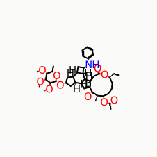 CC[C@H]1CCC[C@H](OC(C)=O)[C@@H](C)C(=O)C2=C[C@H]3[C@@H]4C[C@H](O[C@@H]5OC(C)[C@H](OC)C(OC)C5OC)C[C@H]4[C@@H]4CC(Nc5ccccc5)[C@@H]4[C@H]3[C@@H]2CC(=O)O1